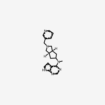 CN(c1ncnc2[nH]ccc12)C1C[C@@H]2CN(Cc3cccnc3)C[C@@H]2C1